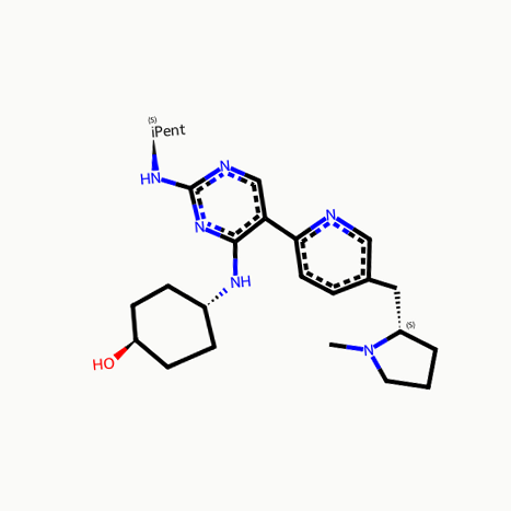 CCC[C@H](C)Nc1ncc(-c2ccc(C[C@@H]3CCCN3C)cn2)c(N[C@H]2CC[C@H](O)CC2)n1